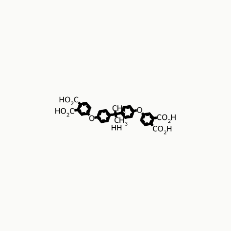 CC(C)(c1ccc(Oc2ccc(C(=O)O)c(C(=O)O)c2)cc1)c1ccc(Oc2ccc(C(=O)O)c(C(=O)O)c2)cc1.[HH]